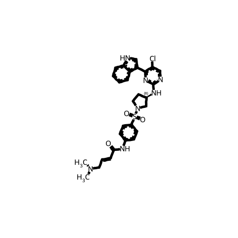 CN(C)CC=CC(=O)Nc1ccc(S(=O)(=O)N2CC[C@@H](Nc3ncc(Cl)c(-c4c[nH]c5ccccc45)n3)C2)cc1